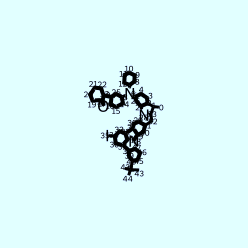 CC1c2ccc(N(c3ccccc3)c3ccc4oc5ccccc5c4c3)cc2N2c3cc4c5cc(I)cc6c7cc(C(C)(C)C)ccc7n(c4cc3CC12)c65